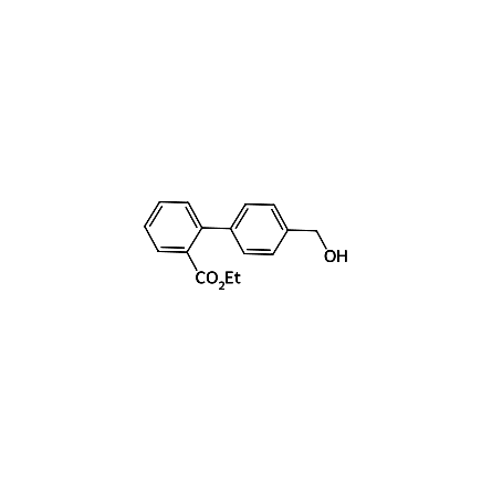 CCOC(=O)c1ccccc1-c1ccc(CO)cc1